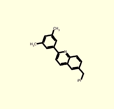 Cc1cc(C)cc(-c2ccc3cc(CC(C)C)ccc3n2)c1